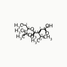 CCC(OC(=O)C(=CC(=O)O)C(C)C)[Si](C)(C)C